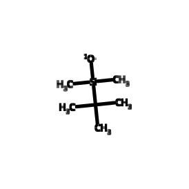 CC(C)(C)[Si](C)(C)[1O]